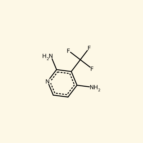 Nc1ccnc(N)c1C(F)(F)F